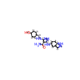 NC(=O)c1c(Nc2ccc3[nH]ncc3c2)n[nH]c1NCc1ccc(O)cc1